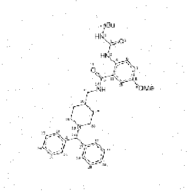 CCCCNC(=O)Nc1ccc(OC)cc1C(=O)NCC1CCN(C(c2ccccc2)c2ccccc2)CC1